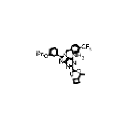 CC(C)Oc1cccc(-c2nc3nc(C(=O)OC(C)C4CCC4)nc(N)c3n2Cc2ccc(C(F)(F)F)cc2)c1